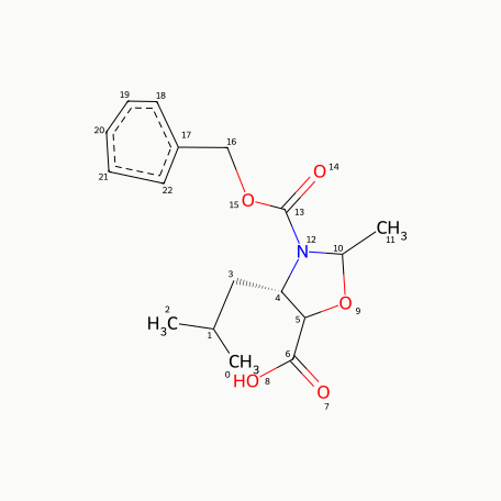 CC(C)C[C@H]1C(C(=O)O)OC(C)N1C(=O)OCc1ccccc1